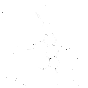 C#CCOc1ccc(C=C2SC(=S)N(CC)C2=O)cc1OCC